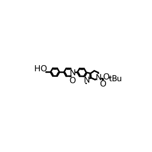 Cn1c2c(c3ccc(-n4ccc(-c5ccc(CO)cc5)cc4=O)cc31)CCN(C(=O)OC(C)(C)C)C2